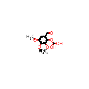 COc1cc(C=O)c(OC(O)O)c(OC)c1OC